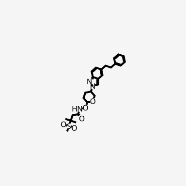 CC(C)(CC(=O)NOC1CCC(n2cc3cc(CCc4ccccc4)ccc3n2)CO1)S(C)(=O)=O